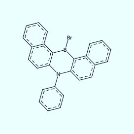 BrB1c2c(ccc3ccccc23)N(c2ccccc2)c2ccc3ccccc3c21